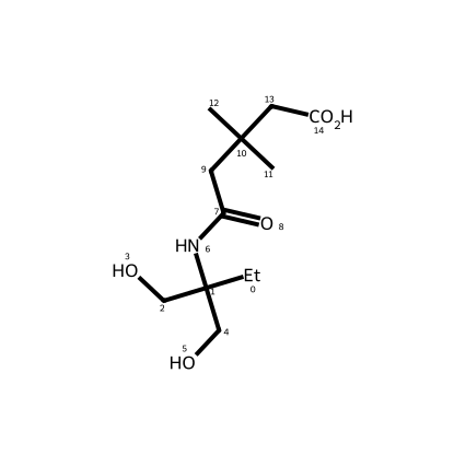 CCC(CO)(CO)NC(=O)CC(C)(C)CC(=O)O